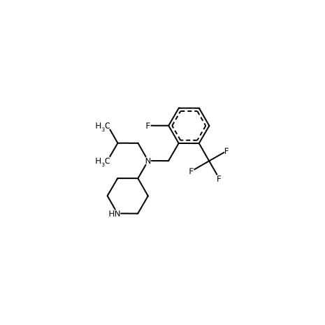 CC(C)CN(Cc1c(F)cccc1C(F)(F)F)C1CCNCC1